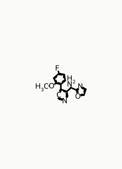 COc1cc(F)ccc1-c1ccncc1C(N)c1ncco1